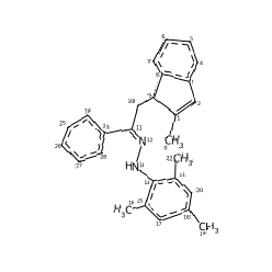 CC1=Cc2ccccc2C1CC(=NNc1c(C)cc(C)cc1C)c1ccccc1